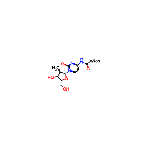 C=C1C(O)[C@@H](CO)O[C@H]1n1ccc(NC(=O)CCCCCCCCC)nc1=O